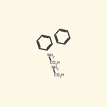 NC(=O)O.NC(=O)O.c1ccccc1.c1ccccc1